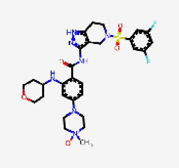 C[N+]1([O-])CCN(c2ccc(C(=O)Nc3n[nH]c4c3CN(S(=O)(=O)c3cc(F)cc(F)c3)CC4)c(NC3CCOCC3)c2)CC1